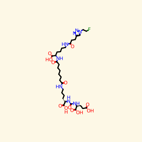 O=C(O)CC[C@H](NC(=O)N[C@@H](CCCCNC(=O)CCCCCCC(=O)NC(CCCCNC(=O)CCc1cn(CCF)nn1)C(=O)O)C(=O)O)C(=O)O